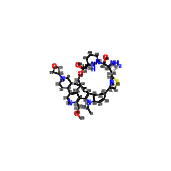 CCn1c(-c2cc(C3CCN(C4COC4)CC3)cnc2[C@H](C)OC)c2c3cc(ccc31)-c1csc(n1)[C@@H](C)[C@H](N)C(=O)N1CCC[C@H](N1)C(=O)OCC(C)(C)C2